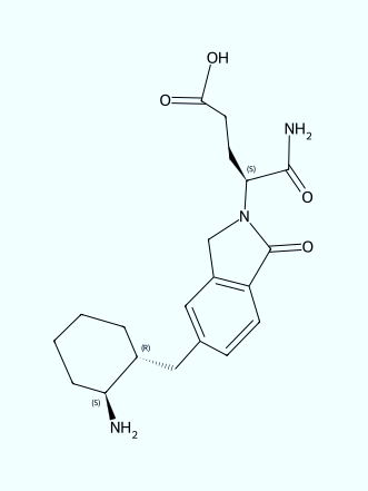 NC(=O)[C@H](CCC(=O)O)N1Cc2cc(C[C@H]3CCCC[C@@H]3N)ccc2C1=O